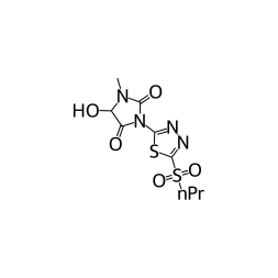 CCCS(=O)(=O)c1nnc(N2C(=O)C(O)N(C)C2=O)s1